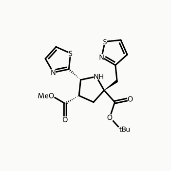 COC(=O)[C@H]1C[C@@](Cc2ccsn2)(C(=O)OC(C)(C)C)N[C@H]1c1nccs1